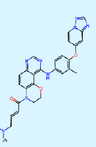 Cc1cc(Nc2ncnc3ccc4c(c23)OCCN4C(=O)/C=C/CN(C)C(C)C)ccc1Oc1ccn2ncnc2c1